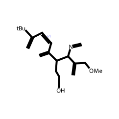 C=NC(C(=C)COC)C(CCO)C(=C)/C=C\C(=C)C(C)(C)C